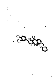 Nc1ncc(-c2ccc(Cl)c(Cl)c2)nc1C(=O)c1ccc(CN2CCCCC2)cc1